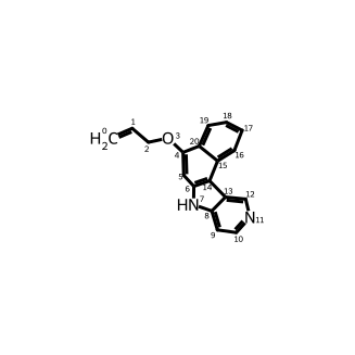 C=CCOc1cc2[nH]c3ccncc3c2c2ccccc12